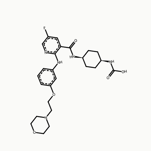 O=C(O)N[C@H]1CC[C@@H](NC(=O)c2cc(F)cnc2Nc2cccc(OCCN3CCOCC3)c2)CC1